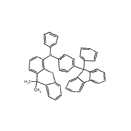 CC1(C)c2ccccc2Sc2c(N(c3ccccc3)c3ccc(C4(c5ccccc5)c5ccccc5-c5ccccc54)cc3)cccc21